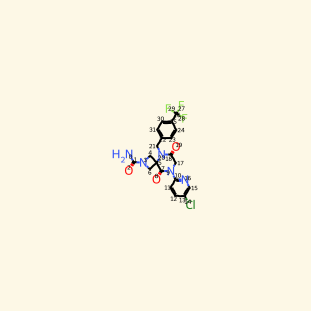 NC(=O)N1CC2(C1)C(=O)N(c1ccc(Cl)cn1)CC(=O)N2Cc1ccc(C(F)(F)F)cc1